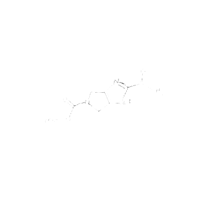 C[S+]([O-])c1nc2c([nH]1)CN(C(=O)OC(C)(C)C)C2